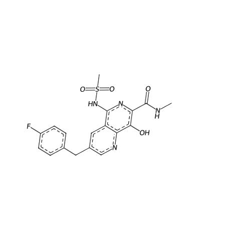 CNC(=O)c1nc(NS(C)(=O)=O)c2cc(Cc3ccc(F)cc3)cnc2c1O